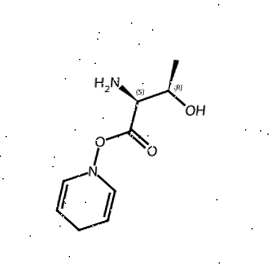 C[C@@H](O)[C@H](N)C(=O)ON1C=CCC=C1